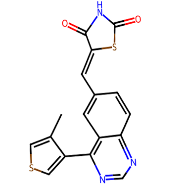 Cc1cscc1-c1ncnc2ccc(/C=C3\SC(=O)NC3=O)cc12